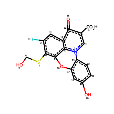 O=C(O)c1cn2c3c(c(SCO)c(F)cc3c1=O)Oc1cc(O)ccc1-2